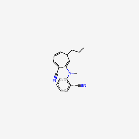 CCCC1C=CC=C(C#N)C(N(C)c2ccccc2C#N)=C1